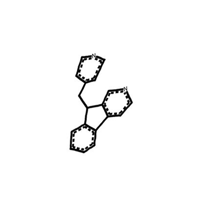 c1ccc2c(c1)-c1ccncc1C2Cc1ccncc1